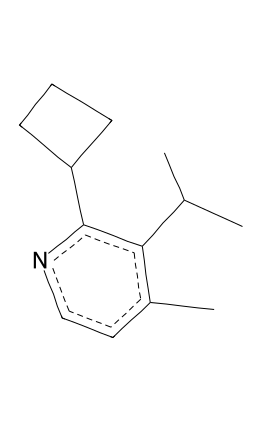 Cc1ccnc(C2CCC2)c1C(C)C